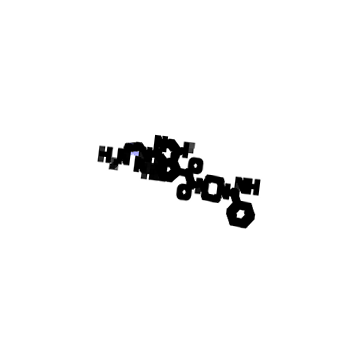 N=C(c1ccccc1)N1CCN(C(=O)C(=O)c2c[nH]c3c(N(N)/C=C\N)ncc(F)c23)CC1